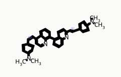 CN(C)c1ccc(/C=C\c2ccnc3c(-c4cccc5nc(/C=C/c6ccc(N(C)C)cc6)ccc45)cccc23)cc1